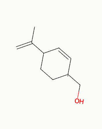 C=C(C)C1C=C[C](CO)CC1